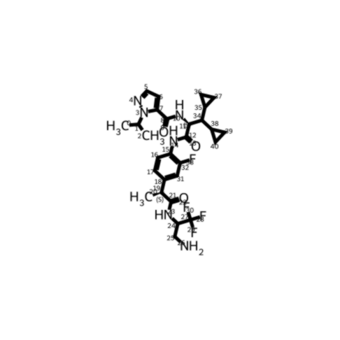 CC(C)n1nccc1C(=O)N[C@H](C(=O)Nc1ccc([C@H](C)C(=O)NC(CN)C(F)(F)F)cc1F)C(C1CC1)C1CC1